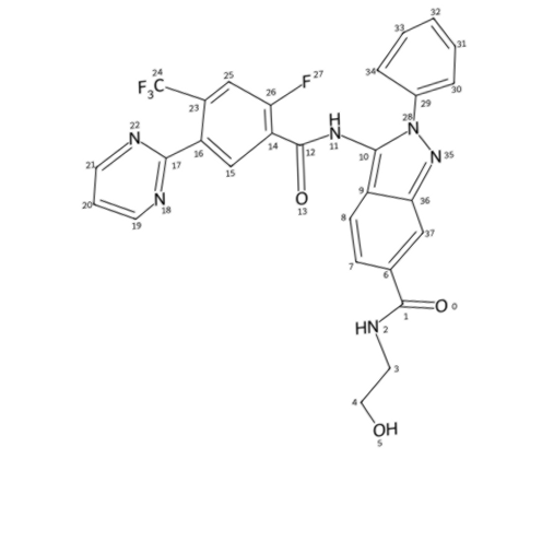 O=C(NCCO)c1ccc2c(NC(=O)c3cc(-c4ncccn4)c(C(F)(F)F)cc3F)n(-c3ccccc3)nc2c1